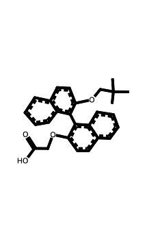 CC(C)(C)COc1ccc2ccccc2c1-c1c(OCC(=O)O)ccc2ccccc12